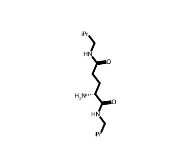 CC(C)CNC(=O)CC[C@@H](N)C(=O)NCC(C)C